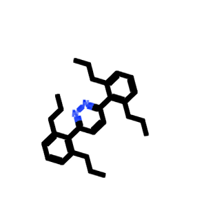 CCCc1cccc(CCC)c1-c1ccc(-c2c(CCC)cccc2CCC)nn1